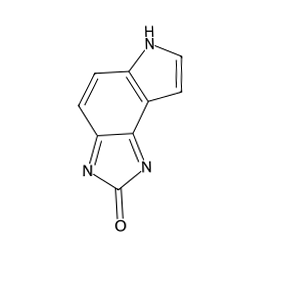 O=C1N=c2ccc3[nH]ccc3c2=N1